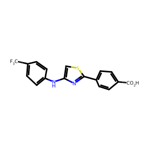 O=C(O)c1ccc(-c2nc(Nc3ccc(C(F)(F)F)cc3)cs2)cc1